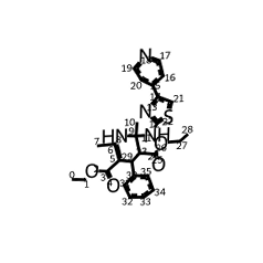 CCOC(=O)C1=C(C)NC(C)(Nc2nc(-c3ccncc3)cs2)C(C(=O)OCC)C1c1ccccc1